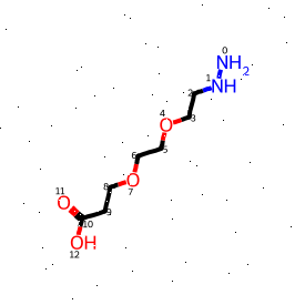 NNCCOCCOCCC(=O)O